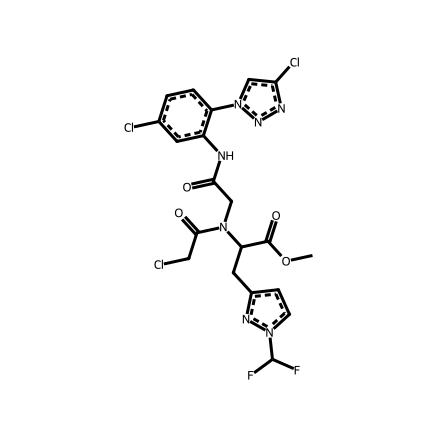 COC(=O)C(Cc1ccn(C(F)F)n1)N(CC(=O)Nc1cc(Cl)ccc1-n1cc(Cl)nn1)C(=O)CCl